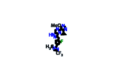 COc1ncnc(C2CC2)c1-c1ncc2[nH]nc(Cc3ccc(-c4nc(C(F)(F)F)cn4C)cc3F)c2n1